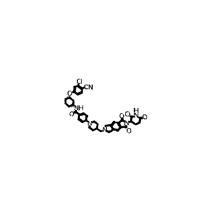 N#Cc1ccc(O[C@H]2CCC[C@H](NC(=O)c3ccc(N4CCC(CN5Cc6cc7c(cc6C5)C(=O)N(C5CCC(=O)NC5=O)C7=O)CC4)cc3)C2)cc1Cl